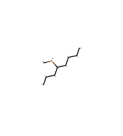 [CH2]CCCC(CCC)SC